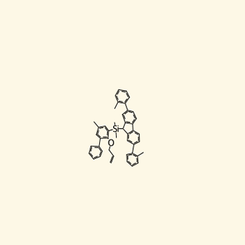 C=CCOc1c(-c2ccccc2)cc(C)cc1[Si](C)(C)C1c2cc(-c3ccccc3C)ccc2-c2ccc(-c3ccccc3C)cc21